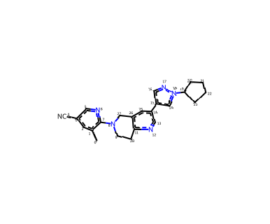 Cc1cc(C#N)cnc1N1CCc2ncc(-c3cnn(C4CCCC4)c3)cc2C1